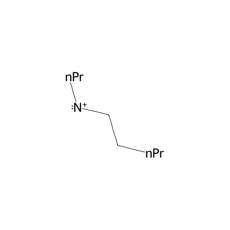 CCCCC[N+]CCC